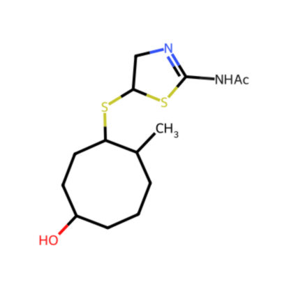 CC(=O)NC1=NCC(SC2CCC(O)CCCC2C)S1